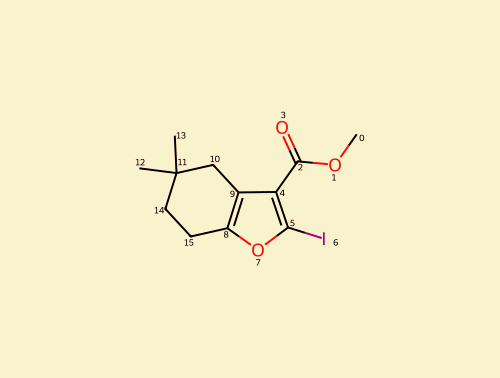 COC(=O)c1c(I)oc2c1CC(C)(C)CC2